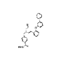 COC(=O)c1ccc(CC(/C=C/c2ccccc2Oc2cccc(-c3ccccc3)c2)CCBr)cc1